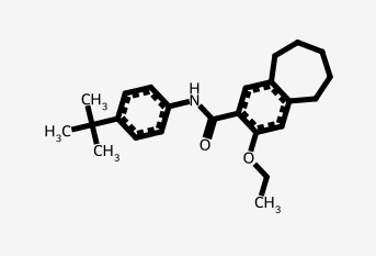 CCOc1cc2c(cc1C(=O)Nc1ccc(C(C)(C)C)cc1)CCCCC2